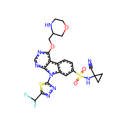 N#CC1(NS(=O)(=O)c2ccc3c4c(OCC5COCCN5)ncnc4n(-c4nnc(C(F)F)s4)c3c2)CC1